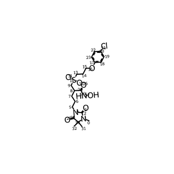 CN1C(=O)N(CCCC(CS(=O)(=O)CCCOc2ccc(Cl)cc2)C(=O)NO)C(=O)C1(C)C